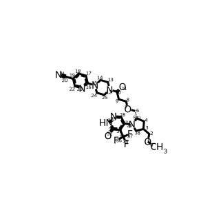 COCC1C[C@@H](COCCC(=O)N2CCN(c3ccc(C#N)cn3)CC2)N(c2cn[nH]c(=O)c2C(F)(F)F)C1